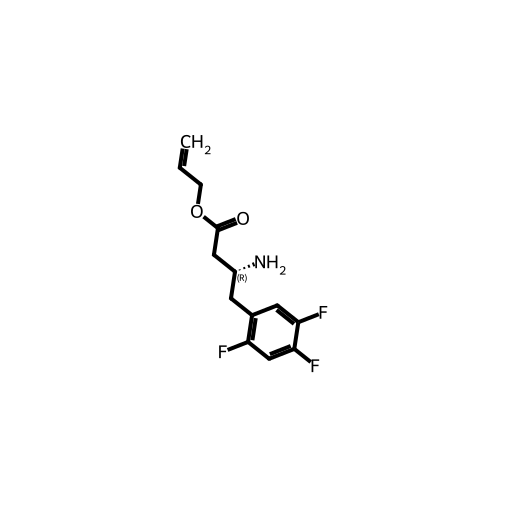 C=CCOC(=O)C[C@H](N)Cc1cc(F)c(F)cc1F